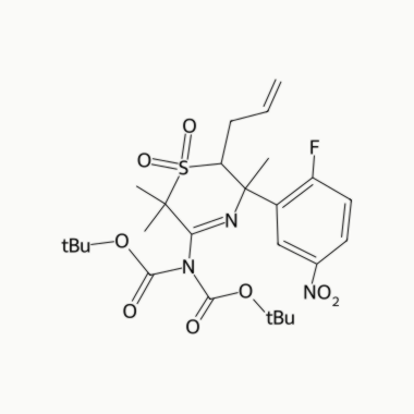 C=CCC1C(C)(c2cc([N+](=O)[O-])ccc2F)N=C(N(C(=O)OC(C)(C)C)C(=O)OC(C)(C)C)C(C)(C)S1(=O)=O